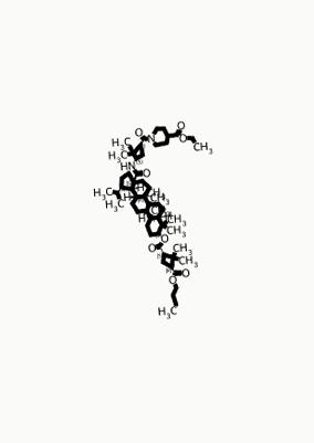 CCCCOC(=O)[C@@H]1C[C@H](C(=O)O[C@H]2CC[C@]3(C)[C@H]4CC[C@@H]5[C@H]6[C@H](C(C)C)CC[C@]6(C(=O)N[C@H]6C[C@@H](C(=O)N7CCC(C(=O)OCC)CC7)C6(C)C)CC[C@@]5(C)[C@]4(C)CC[C@H]3C2(C)C)C1(C)C